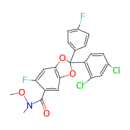 CON(C)C(=O)c1cc2c(cc1F)OC(c1ccc(F)cc1)(c1ccc(Cl)cc1Cl)O2